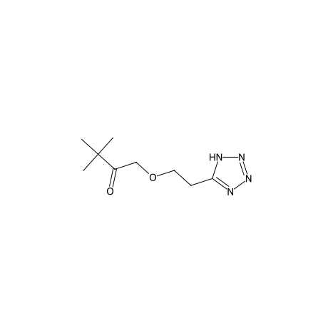 CC(C)(C)C(=O)COCCc1nnn[nH]1